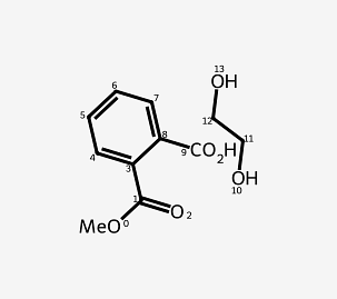 COC(=O)c1ccccc1C(=O)O.OCCO